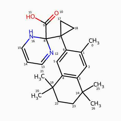 Cc1cc2c(cc1C1(C3(C(=O)O)N=CC=CN3)CC1)C(C)(C)CCC2(C)C